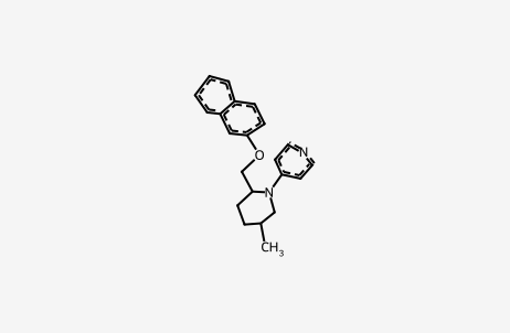 CC1CCC(COc2ccc3ccccc3c2)N(c2ccncc2)C1